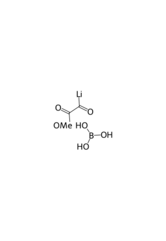 OB(O)O.[Li][C](=O)C(=O)OC